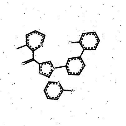 Brc1ccccn1.Cc1cccnc1C(=O)c1cn(-c2cccc(-c3ccccc3Cl)c2)cn1